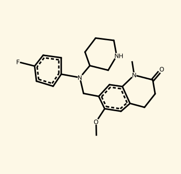 COc1cc2c(cc1CN(c1ccc(F)cc1)C1CCCNC1)N(C)C(=O)CC2